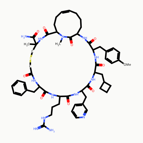 COc1ccc(CC2NC(=O)C(CC3CCC3)NC(=O)C(Cc3cccnc3)NC(=O)C(CCCNC(=N)N)NC(=O)C(Cc3ccccc3)NC(=O)CSCC(C)(C(N)=O)NC(=O)C3CCC=CCCCC(NC2=O)C(=O)N3C)cc1